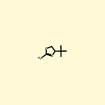 CC(C)(C)C1COC(N)=N1